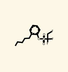 CCCCCc1ccccc1OS(=O)(=O)C(F)(F)CF